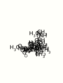 Cc1nc(C(=O)N2CCC[C@H]2N(C=O)[C@@H](CCC2CCCCC2)C(=O)N[C@@H](CC(C)C)C(=O)NC(C)(C)C(=O)N[C@@H](CC(C)C)C(=O)N[C@@H](CC(C)C)C(=O)NC(C)(C)C(=O)NC(C)(C)C(=O)NCCC(=O)NC2(CN(C)C)CCC2)co1